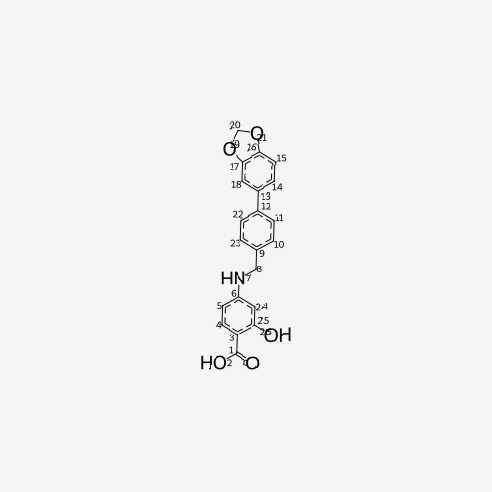 O=C(O)c1ccc(NCc2ccc(-c3ccc4c(c3)OCO4)cc2)cc1O